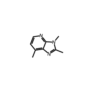 Cc1ccnc2c1nc(C)n2C